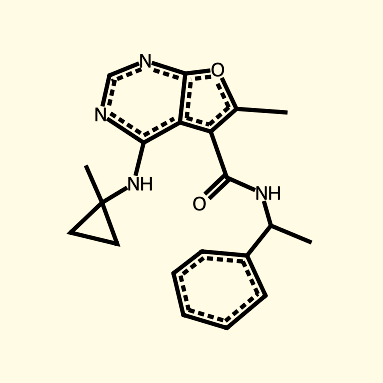 Cc1oc2ncnc(NC3(C)CC3)c2c1C(=O)NC(C)c1ccccc1